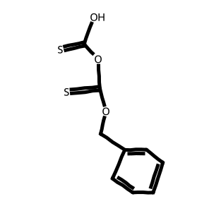 OC(=S)OC(=S)OCc1ccccc1